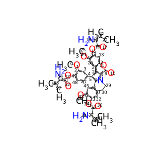 COc1cc(-c2c3n(c4c(=O)oc5cc(OC(=O)[C@@H](N)C(C)C)c(OC)cc5c24)CCc2cc(OC(=O)[C@@H](N)C(C)C)c(OC)cc2-3)ccc1OC(=O)[C@@H](N)C(C)C